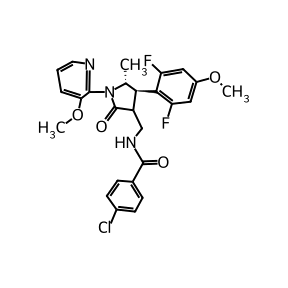 COc1cc(F)c([C@H]2C(CNC(=O)c3ccc(Cl)cc3)C(=O)N(c3ncccc3OC)[C@@H]2C)c(F)c1